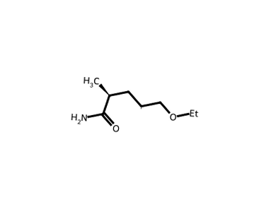 CCOC[CH]C[C@H](C)C(N)=O